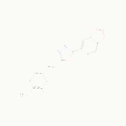 COc1ccc(CSc2nnc(-c3ccc4c(c3)OCO4)o2)cc1F